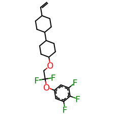 C=CC1CCC(C2CCC(OCC(F)(F)Oc3cc(F)c(F)c(F)c3)CC2)CC1